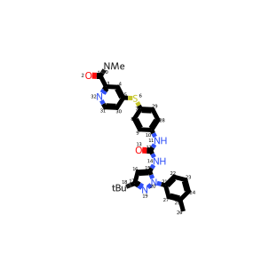 CNC(=O)c1cc(Sc2ccc(NC(=O)Nc3cc(C(C)(C)C)nn3-c3cccc(C)c3)cc2)ccn1